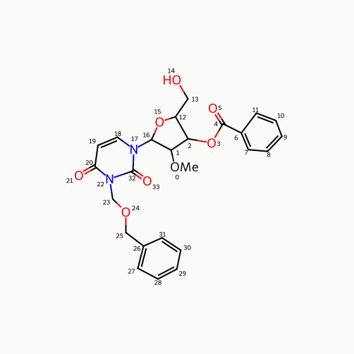 COC1C(OC(=O)c2ccccc2)C(CO)OC1n1ccc(=O)n(COCc2ccccc2)c1=O